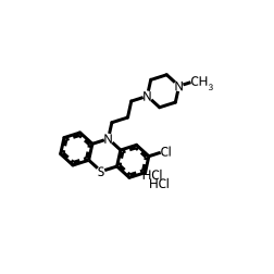 CN1CCN(CCCN2c3ccccc3Sc3ccc(Cl)cc32)CC1.Cl.Cl